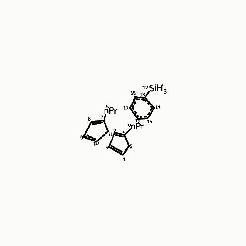 CCCC1=CC=CC1.CCCC1=CC=CC1.[SiH3]c1ccccc1